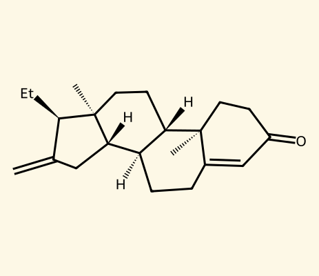 C=C1C[C@H]2[C@@H]3CCC4=CC(=O)CC[C@]4(C)[C@H]3CC[C@]2(C)[C@@H]1CC